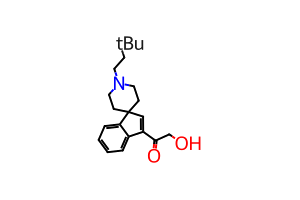 CC(C)(C)CCN1CCC2(C=C(C(=O)CO)c3ccccc32)CC1